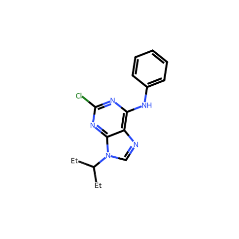 CCC(CC)n1cnc2c(Nc3ccccc3)nc(Cl)nc21